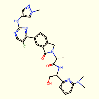 C[C@H](C(=O)N[C@H](CO)c1cccc(N(C)C)n1)N1Cc2ccc(-c3nc(Nc4cnn(C)c4)ncc3Cl)cc2C1=O